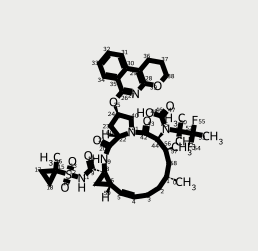 C[C@@H]1CC/C=C\[C@@H]2C[C@@]2(C(=O)NS(=O)(=O)C2(C)CC2)NC(=O)[C@@H]2C[C@@H](Oc3nc4c(c5ccccc35)CCCO4)CN2C(=O)[C@@H](N(C(=O)O)C(C)(C)C(C)(F)F)[C@H](C)C1